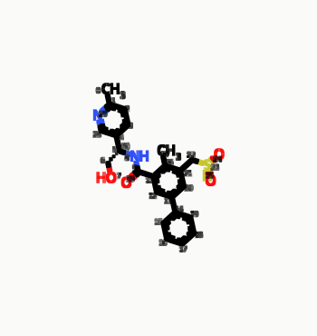 Cc1ccc([C@@H](CO)NC(=O)c2cc(-c3ccccc3)cc(C[SH](=O)=O)c2C)cn1